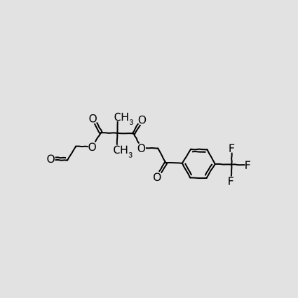 CC(C)(C(=O)OCC=O)C(=O)OCC(=O)c1ccc(C(F)(F)F)cc1